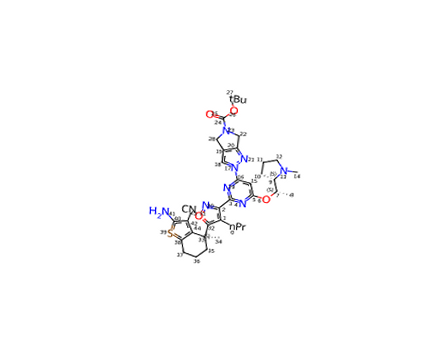 CCCc1c(-c2nc(O[C@@H](C)[C@@H]3CCCN3C)cc(-n3cc4c(n3)CN(C(=O)OC(C)(C)C)C4)n2)noc1[C@@]1(C)CCCc2sc(N)c(C#N)c21